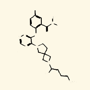 CCN(C(=O)c1cc(F)ccc1Oc1nncnc1N1CCC2(C1)CN(C(CCCNC)C(C)C)C2)C(C)C.Cl